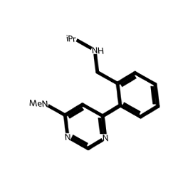 CNc1cc(-c2ccccc2CNC(C)C)ncn1